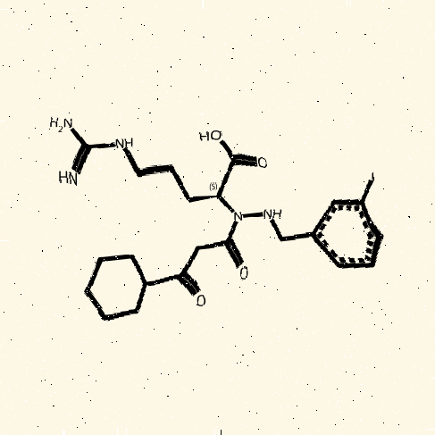 N=C(N)NCCC[C@@H](C(=O)O)N(NCc1cccc(I)c1)C(=O)CC(=O)C1CCCCC1